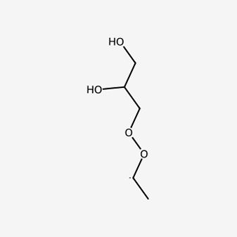 C[CH]OOCC(O)CO